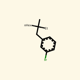 CCCCCCC(C)(CC)Cc1cccc(Br)c1